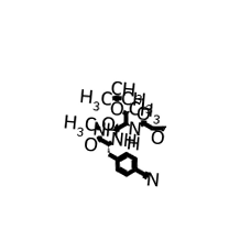 CNC(=O)[C@@H](Cc1ccc(C#N)cc1)NC(=O)[C@@H](NC(=O)C1CO1)[C@@H](C)OC(C)(C)C